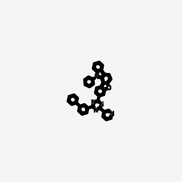 c1ccc(-c2cccc(-c3nc(-c4cccnc4)nc(-c4ccc5c(c4)oc4ccc6c7ccccc7n(-c7ccccc7)c6c45)n3)c2)cc1